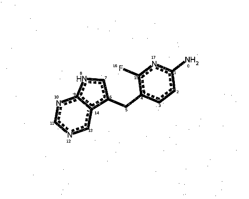 Nc1ccc(Cc2c[nH]c3ncncc23)c(F)n1